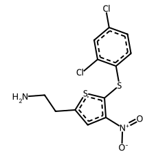 NCCc1cc([N+](=O)[O-])c(Sc2ccc(Cl)cc2Cl)s1